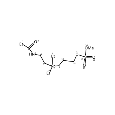 CCC(=O)NCC[N+](CC)(CC)CCCOS(=O)(=O)OC